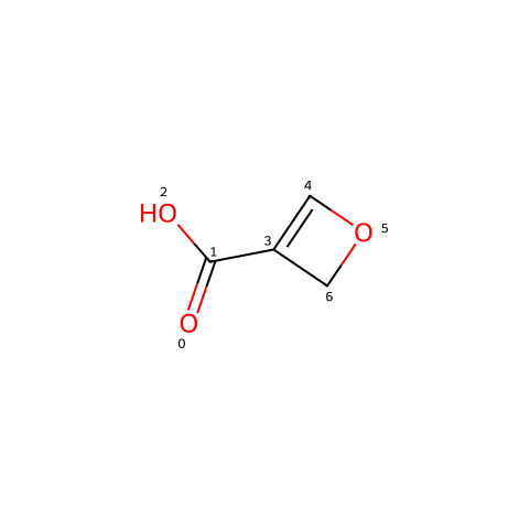 O=C(O)C1=COC1